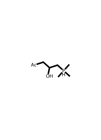 CC(=O)CC(O)C[PH](C)(C)C